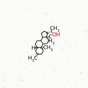 CC(O)[C@H]1CCC2C3CC[C@H]4C[C@@H](C)CC[C@]4(C)C3CC[C@@]21C